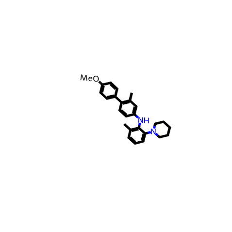 COc1ccc(-c2ccc(Nc3c(C)cccc3N3CCCCC3)cc2C)cc1